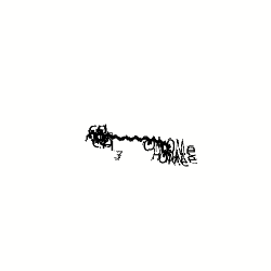 COc1cc(CNCC(O)CCCCCCCCCn2c(=O)c3c(ncn3C)n(C)c2=O)cc(OC)c1OC